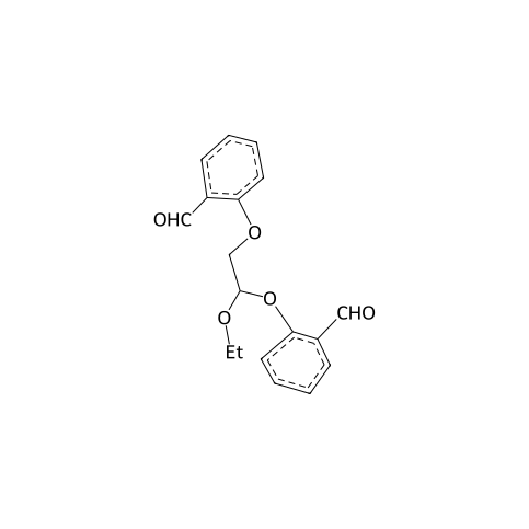 CCOC(COc1ccccc1C=O)Oc1ccccc1C=O